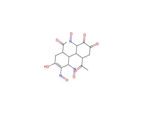 CC(=O)C1CC(=O)C(=O)C(N=O)C1C1C(C(C)=O)CC(O)=C(N=O)C1N=O